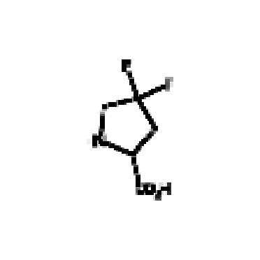 O=C(O)C1CC(F)(F)CN1